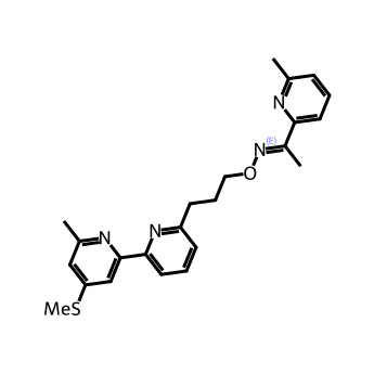 CSc1cc(C)nc(-c2cccc(CCCO/N=C(\C)c3cccc(C)n3)n2)c1